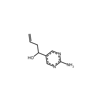 C=CCC(O)c1cnc(N)nc1